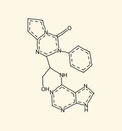 O=c1n(-c2ccccc2)c(C(CO)Nc2ncnc3[nH]cnc23)nc2cccn12